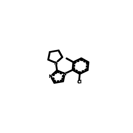 Cc1cccc(Cl)c1-n1ccnc1N1CCCC1